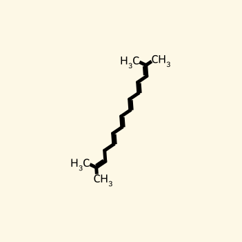 CC(C)=CC=CC=CC=CC=CCC=C(C)C